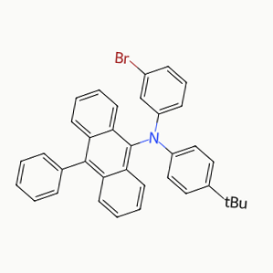 CC(C)(C)c1ccc(N(c2cccc(Br)c2)c2c3ccccc3c(-c3ccccc3)c3ccccc23)cc1